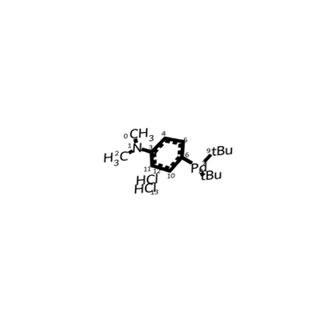 CN(C)c1cc[c]([Pd]([C](C)(C)C)[C](C)(C)C)cc1.Cl.Cl